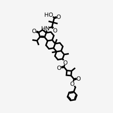 CC(C)C1=C2C3CCC4C(C)(CCC5C(C)C(OC(=O)C6CC(C(=O)OCc7ccccc7)C6C)CCC54C)C3CCC2(NC(=O)C(C)(C)C(=O)O)CC1=O